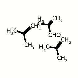 C=C(C)C.C=C(C)C.C=C(C)C=O